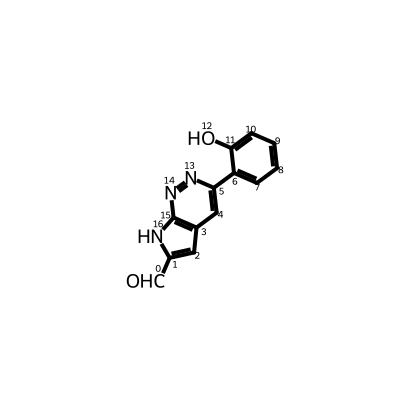 O=Cc1cc2cc(-c3ccccc3O)nnc2[nH]1